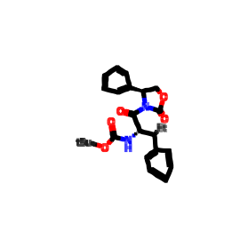 CC[C@@H](c1ccccc1)[C@H](NC(=O)OC(C)(C)C)C(=O)N1C(=O)OC[C@@H]1c1ccccc1